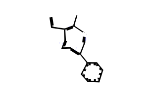 C=CC1=C(C)/N=C\C(c2ccccc2)=C\C=C\1